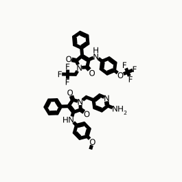 COc1ccc(NC2=C(c3ccccc3)C(=O)N(Cc3ccc(N)nc3)C2=O)cc1.O=C1C(Nc2ccc(OC(F)(F)F)cc2)=C(c2ccccc2)C(=O)N1CC(F)(F)F